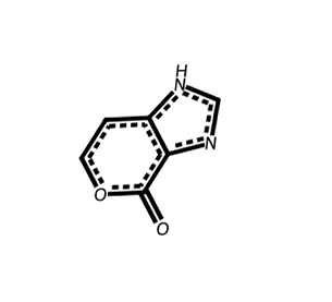 O=c1occc2[nH]cnc12